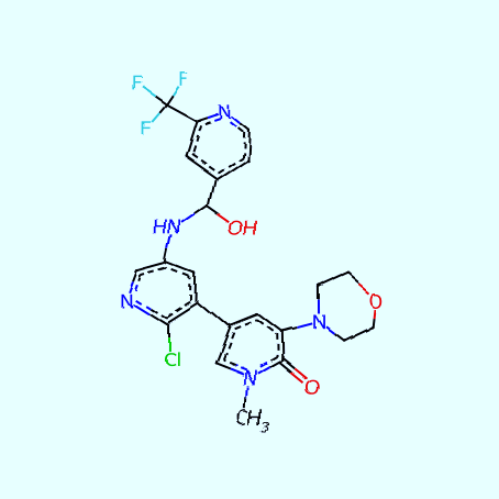 Cn1cc(-c2cc(NC(O)c3ccnc(C(F)(F)F)c3)cnc2Cl)cc(N2CCOCC2)c1=O